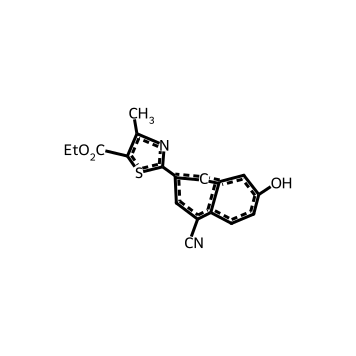 CCOC(=O)c1sc(-c2cc(C#N)c3ccc(O)cc3c2)nc1C